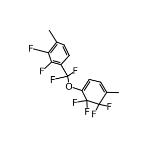 CC1=CC=C(OC(F)(F)c2ccc(C)c(F)c2F)C(F)(F)C1(F)F